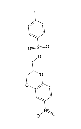 Cc1ccc(S(=O)(=O)OCC2COc3cc([N+](=O)[O-])ccc3O2)cc1